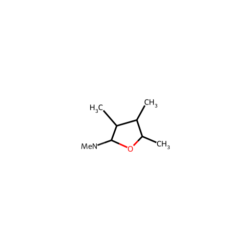 CNC1OC(C)C(C)C1C